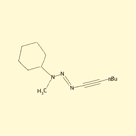 CCCCC#C/N=N/N(C)C1CCCCC1